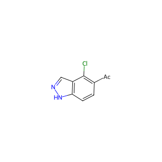 CC(=O)c1ccc2[nH]ncc2c1Cl